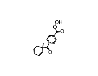 CC1(C(=O)c2ccc(C(=O)OO)cc2)C=CC=CC1